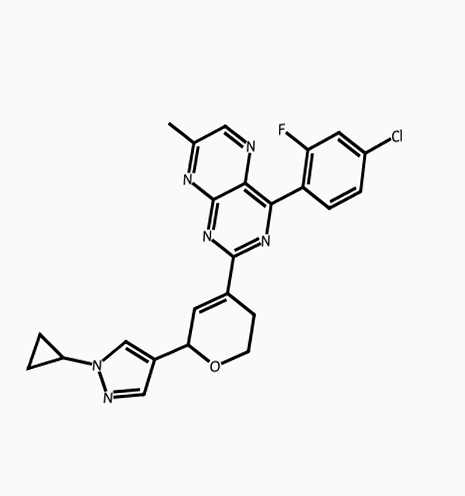 Cc1cnc2c(-c3ccc(Cl)cc3F)nc(C3=CC(c4cnn(C5CC5)c4)OCC3)nc2n1